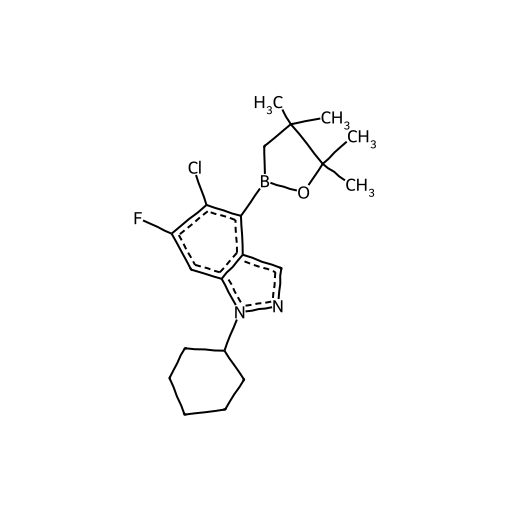 CC1(C)CB(c2c(Cl)c(F)cc3c2cnn3C2CCCCC2)OC1(C)C